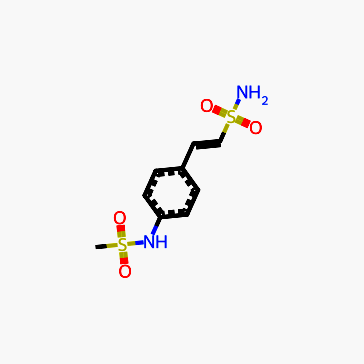 CS(=O)(=O)Nc1ccc(C=CS(N)(=O)=O)cc1